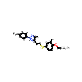 CCOC(=O)COc1ccc(SCCc2nn(-c3ccc(C(F)(F)F)cc3)nc2C)cc1C